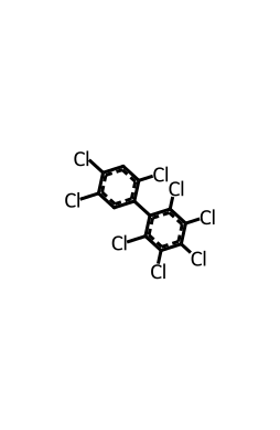 Clc1cc(Cl)c(-c2c(Cl)c(Cl)c(Cl)c(Cl)c2Cl)cc1Cl